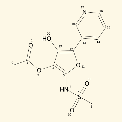 CC(=O)Oc1c(NS(C)(=O)=O)oc(-c2cccnc2)c1O